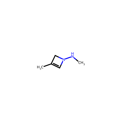 CNN1C=C(C)C1